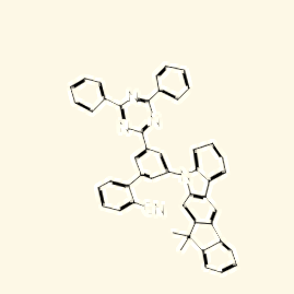 CC1(C)c2ccccc2-c2cc3c4ccccc4n(-c4cc(-c5nc(-c6ccccc6)nc(-c6ccccc6)n5)cc(-c5ccccc5C#N)c4)c3cc21